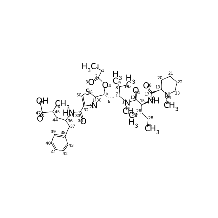 CCC(=O)O[C@H](C[C@H](C(C)C)N(C)C(=O)[C@@H](NC(=O)[C@H]1CCCCN1C)[C@@H](C)CC)c1nc(C(=O)NC(Cc2ccccc2)CC(C)C(=O)O)cs1